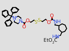 CCOC(=O)NCC1CCCCC(CNC(=O)OCCSSCCOC(=O)N2CCN(C(c3ccccc3)(c3ccccc3)c3ccccc3)CC2)C1